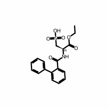 CCOC(=O)[C@H](CS(=O)(=O)O)NC(=O)c1ccccc1-c1ccccc1